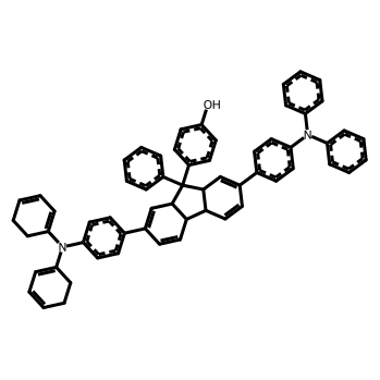 Oc1ccc(C2(c3ccccc3)C3C=C(c4ccc(N(C5=CC=CCC5)C5=CC=CCC5)cc4)C=CC3C3C=CC(c4ccc(N(c5ccccc5)c5ccccc5)cc4)=CC32)cc1